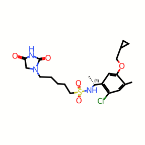 Cc1cc(Cl)c([C@@H](C)NS(=O)(=O)CCCCCN2CC(=O)NC2=O)cc1OCC1CC1